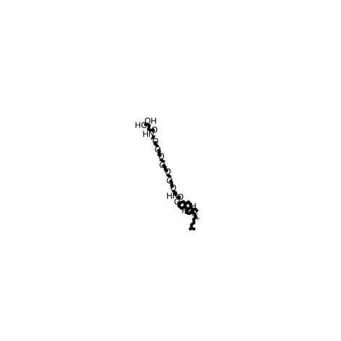 CC(C)CCC[C@@H](C)[C@H]1CC[C@H]2[C@@H]3CC=C4C[C@@H](OC(=O)NCCOCCOCCOCCOCCOCCOCCOCCNC(=O)CCC(O)O)CC[C@]4(C)[C@H]3CC[C@]12C